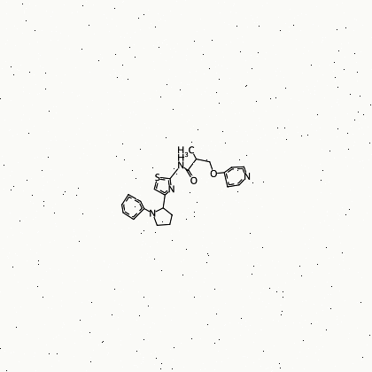 CC(COc1ccncc1)C(=O)Nc1nc(C2CCCN2c2ccccc2)cs1